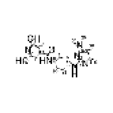 Cc1nc(N[C@H]2CC[C@@H](NC(=O)c3cc(O)nc(O)c3)CC2)nc(N(C)C)c1C